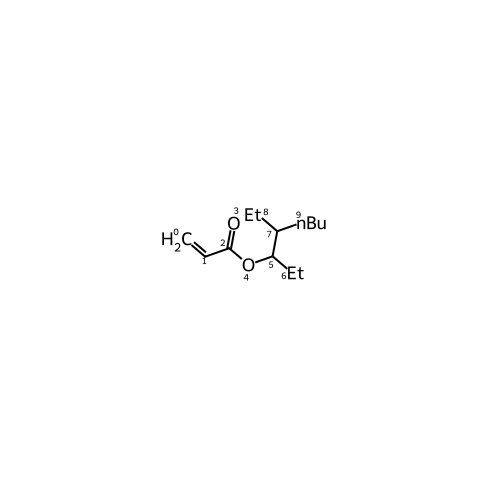 C=CC(=O)OC(CC)C(CC)CCCC